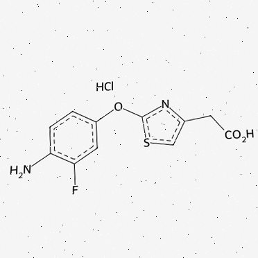 Cl.Nc1ccc(Oc2nc(CC(=O)O)cs2)cc1F